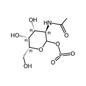 CC(=O)N[C@H]1C(OP(=O)=O)O[C@H](CO)[C@H](O)[C@@H]1O